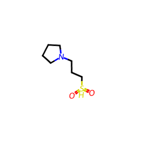 O=[SH](=O)CCCN1CCCC1